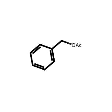 CC(=O)OCc1c[c]ccc1